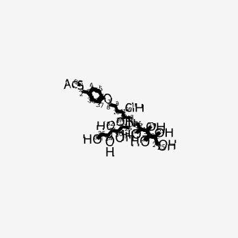 CC(=O)SCc1ccc(OCCCCCCN(CC(O)C(O)C(O)C(O)CO)CC(O)C(O)C(O)C(O)CO)cc1.Cl